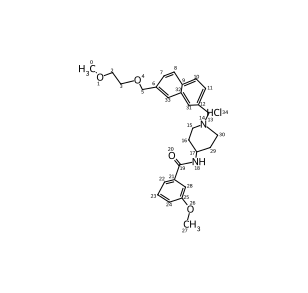 COCCOCc1ccc2ccc(CN3CCC(NC(=O)c4cccc(OC)c4)CC3)cc2c1.Cl